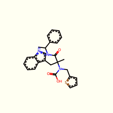 CC(NC(=O)C(C)(Cc1c[nH]c2ccccc12)N(Cc1cccs1)C(=O)O)c1ccccc1